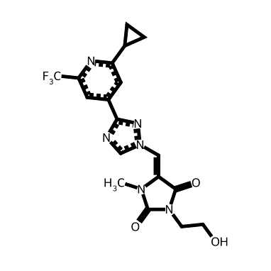 CN1C(=O)N(CCO)C(=O)C1=Cn1cnc(-c2cc(C3CC3)nc(C(F)(F)F)c2)n1